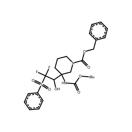 CC(C)(C)OC(=O)NC1(C(O)C(F)(F)S(=O)(=O)c2ccccc2)CCCN(C(=O)OCc2ccccc2)C1